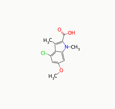 COc1cc(Cl)c2c(C)c(C(=O)O)n(C)c2c1